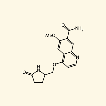 COc1cc2c(OCC3CCC(=O)N3)ccnc2cc1C(N)=O